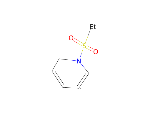 CCS(=O)(=O)N1C=[C]C=CC1